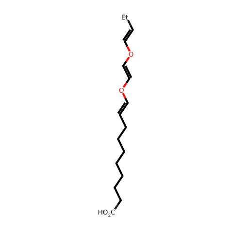 CCC=COC=COC=CCCCCCCCC(=O)O